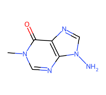 Cn1cnc2c(ncn2N)c1=O